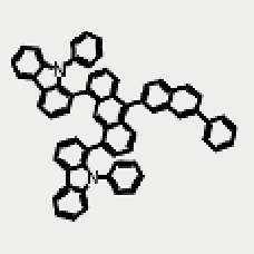 c1ccc(-c2ccc3ccc(-c4c5cccc(-c6cccc7c8ccccc8n(-c8ccccc8)c67)c5cc5c(-c6cccc7c8ccccc8n(-c8ccccc8)c67)cccc45)cc3c2)cc1